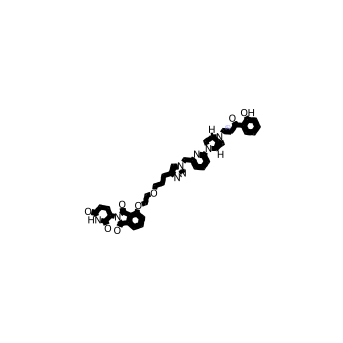 O=C1CCC(N2C(=O)c3cccc(OCCOCCCc4cn(Cc5cccc(N6C[C@H]7C[C@@H]6CN7/C=C/C(=O)c6ccccc6O)n5)nn4)c3C2=O)C(=O)N1